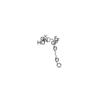 CC(C)(C)C1CC(CC(OCCOCCCCCOCc2ccccc2)C(F)(F)F)CCN1C(=O)O